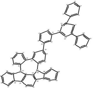 c1ccc(-c2cc(-c3ccccc3)nc(-c3cccc(-c4ccc5c(c4)c4ccccc4n4c6ccccc6c6ccc7c8ccccc8n5c7c64)c3)n2)cc1